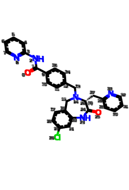 O=C(Nc1ccccn1)c1ccc(CN2Cc3ccc(Cl)cc3NC(=O)[C@H]2Cc2ccccn2)cc1